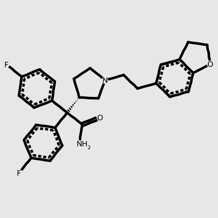 NC(=O)C(c1ccc(F)cc1)(c1ccc(F)cc1)[C@@H]1CCN(CCc2ccc3c(c2)CCO3)C1